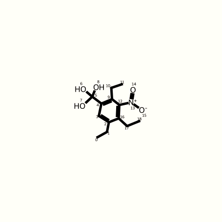 CCc1cc(C(O)(O)O)c(CC)c([N+](=O)[O-])c1CC